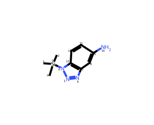 C[Si](C)(C)n1nnc2cc(N)ccc21